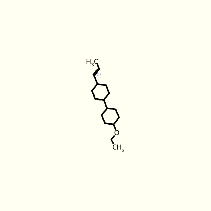 C/C=C/C1CCC(C2CCC(OCC)CC2)CC1